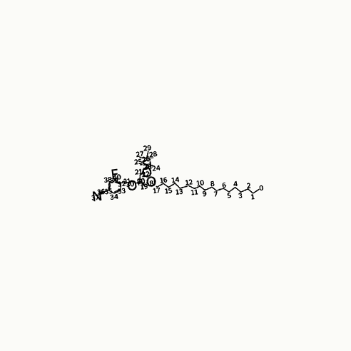 CCCCCCCCCCCCCCCCCCOC[C@H](CO[Si](C)(C)C(C)(C)C)OCc1ccc(C#N)cc1F